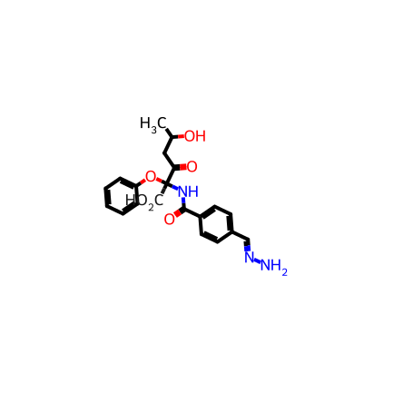 CC(O)CC(=O)C(NC(=O)c1ccc(C=NN)cc1)(Oc1ccccc1)C(=O)O